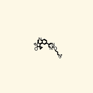 CN(C)CCCOc1ncc(-c2ccc3ncc4c(c3c2)C2(CC2)C(=O)N4C)cn1